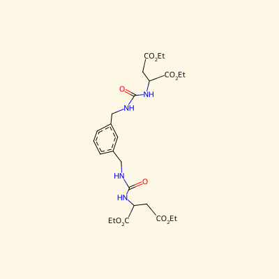 CCOC(=O)CC(NC(=O)NCc1cccc(CNC(=O)NC(CC(=O)OCC)C(=O)OCC)c1)C(=O)OCC